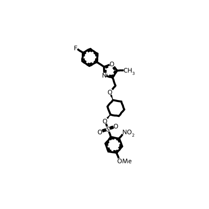 COc1ccc(S(=O)(=O)O[C@@H]2CCC[C@H](OCc3nc(-c4ccc(F)cc4)oc3C)C2)c([N+](=O)[O-])c1